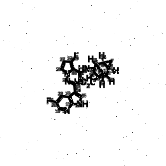 O=C(O)[C@H]1[C@H]2CC[C@H]([C@H]3C[C@H]32)[C@@H]1Nc1nc(-c2c[nH]c3ncc(F)cc23)nn2ccc(F)c12